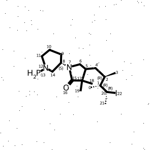 C[C@H]([C@H](C)CC1CN([C@H]2CCCN(P)C2)C(=O)C1(C)C)[C@@H](C)I